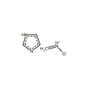 C=[NH+][O-].c1c[nH]cn1